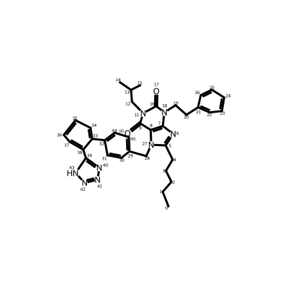 CCCCCc1nc2c(c(=O)n(CC(C)C)c(=O)n2CCc2ccccc2)n1Cc1ccc(-c2ccccc2-c2nnn[nH]2)cc1